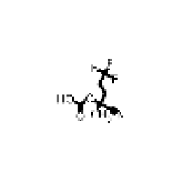 CC(C#N)(CCC(F)(F)F)OC(=O)O